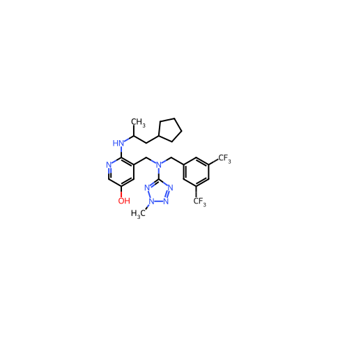 CC(CC1CCCC1)Nc1ncc(O)cc1CN(Cc1cc(C(F)(F)F)cc(C(F)(F)F)c1)c1nnn(C)n1